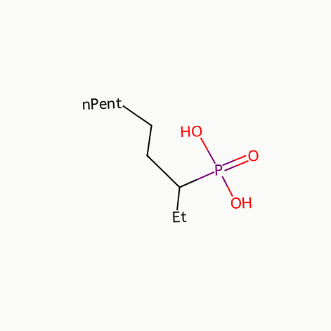 CCCCCCCC(CC)P(=O)(O)O